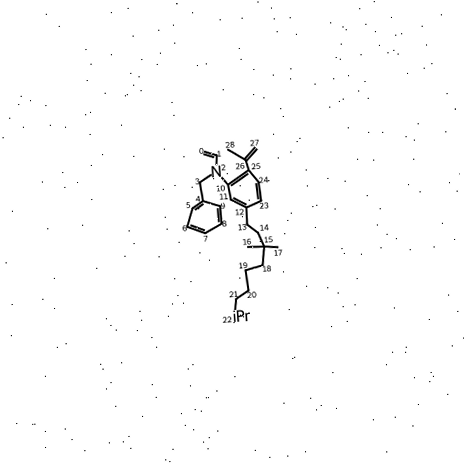 C=CN(Cc1ccccc1)c1cc(CCC(C)(C)CCCCC(C)C)ccc1C(=C)C